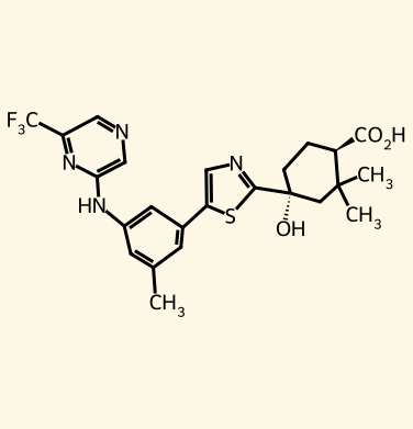 Cc1cc(Nc2cncc(C(F)(F)F)n2)cc(-c2cnc([C@@]3(O)CC[C@@H](C(=O)O)C(C)(C)C3)s2)c1